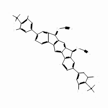 N#C/N=c1/c2cc(-c3cc(F)c(C(F)(F)F)c(F)c3)ccc2c2cc3c(cc12)/c(=N/C#N)c1cc(C2=CC(F)=C(C(F)(F)F)C(F)C2)ccc13